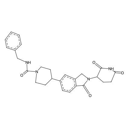 O=C1CCC(N2Cc3cc(C4CCN(C(=O)NCc5ccccc5)CC4)ccc3C2=O)C(=O)N1